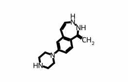 C=C1NNC=Cc2cc(N3CCNCC3)ccc21